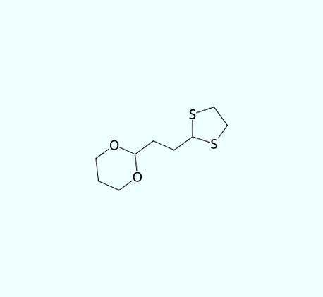 C1COC(CCC2SCCS2)OC1